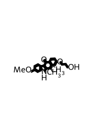 COCc1ccc2c3c([nH]c2c1)C(C)(C)c1cc(OCCCO)ccc1C3=O